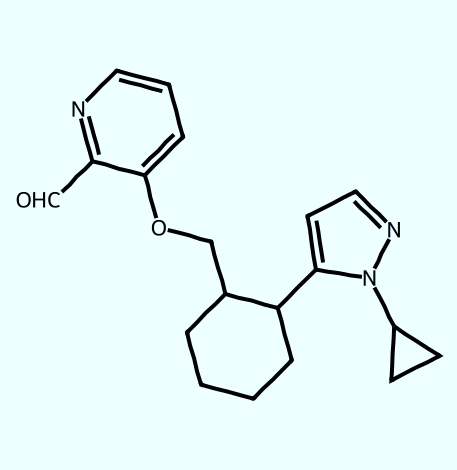 O=Cc1ncccc1OCC1CCCCC1c1ccnn1C1CC1